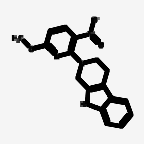 COc1ccc([N+](=O)[O-])c(N2CCc3c([nH]c4ccccc34)C2)n1